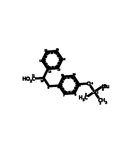 CC(C)(C)[Si](C)(C)Oc1ccc(CC(C(=O)O)c2ccccc2)cc1